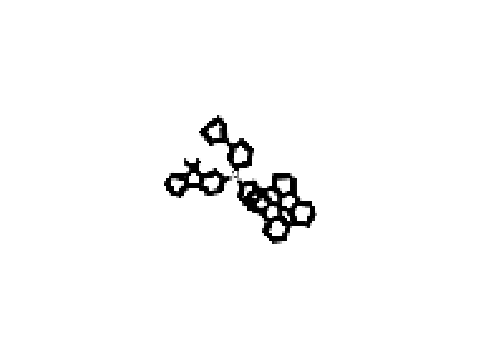 CC1(C)c2ccccc2-c2ccc(N(c3cccc(-c4ccccc4)c3)c3cccc(-c4cccc5c4C4(c6ccccc6-c6ccccc64)c4ccccc4-5)c3)cc21